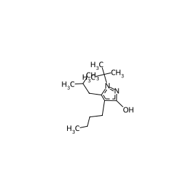 CCCCc1c(O)nn(C(C)(C)C)c1CC(C)C